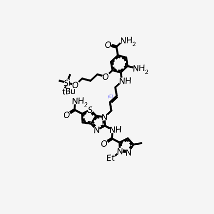 CCn1nc(C)cc1C(=O)Nc1nc2cc(C(N)=O)sc2n1C/C=C/CNc1c(N)cc(C(N)=O)cc1OCCCO[Si](C)(C)C(C)(C)C